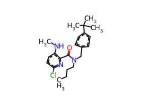 CCCCN(Cc1ccc(C(C)(C)C)cc1)C(=O)c1nc(Cl)ccc1NC